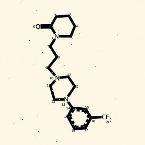 O=C1CCCCN1CCCN1CCN(c2cccc(C(F)(F)F)c2)CC1